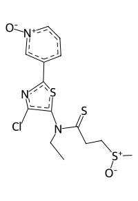 CCN(C(=S)CC[S+](C)[O-])c1sc(-c2ccc[n+]([O-])c2)nc1Cl